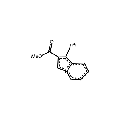 CCCc1c(C(=O)OC)cn2ccccc12